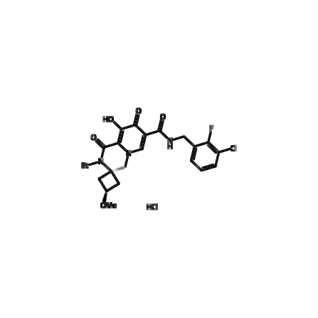 CCN1C(=O)c2c(O)c(=O)c(C(=O)NCc3cccc(Cl)c3F)cn2C[C@]12C[C@H](OC)C2.Cl